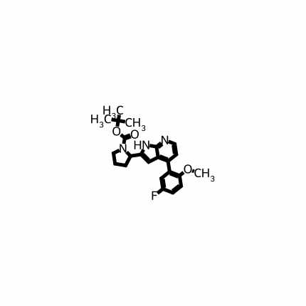 COc1ccc(F)cc1-c1ccnc2[nH]c(C3CCCN3C(=O)OC(C)(C)C)cc12